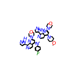 CN(c1ccc(F)cc1)c1cc(N2CCOCC2)nc2c(-c3ccn[nH]3)nccc12.COC1CCN(c2cc(N3CCOCC3)nc3c(-c4ccn[nH]4)nccc23)CC1